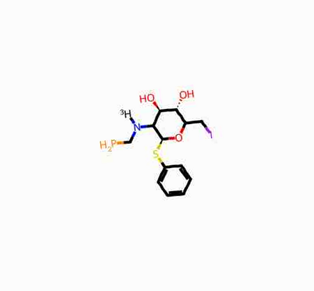 [3H]N(CP)C1[C@@H](O)[C@H](O)C(CI)O[C@H]1Sc1ccccc1